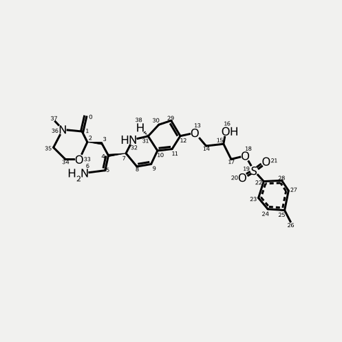 C=C1[C@@H](C/C(=C\N)[C@@H]2C=CC3=CC(OCC(O)COS(=O)(=O)c4ccc(C)cc4)=CC[C@@H]3N2)OCCN1C